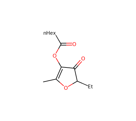 CCCCCCC(=O)OC1=C(C)OC(CC)C1=O